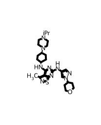 Cc1nsc2nc(Nc3cnn(C4CCOCC4)c3)nc(N[C@H]3CC[C@H](N4CCN(C(C)C)CC4)CC3)c12